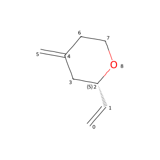 C=C[C@@H]1CC(=C)CCO1